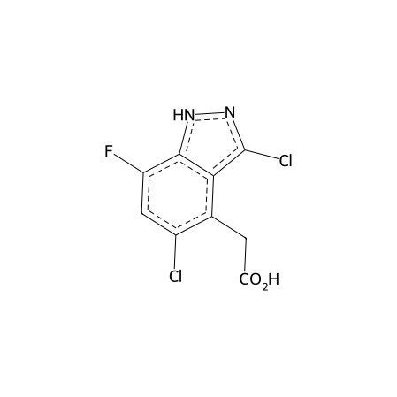 O=C(O)Cc1c(Cl)cc(F)c2[nH]nc(Cl)c12